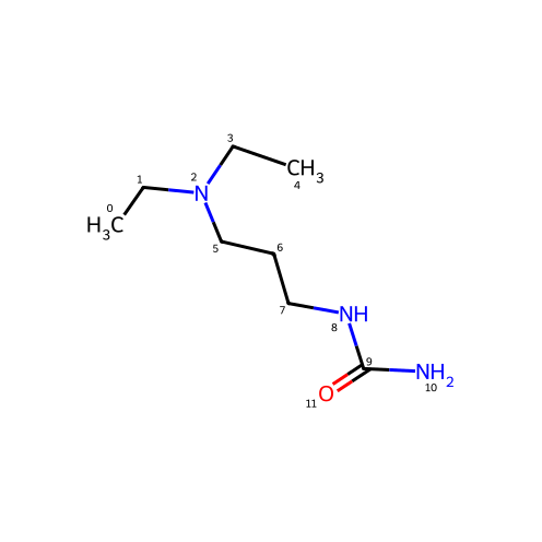 CCN(CC)CCCNC(N)=O